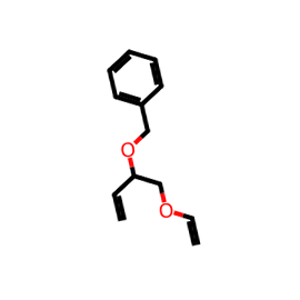 C=COCC(C=C)OCc1ccccc1